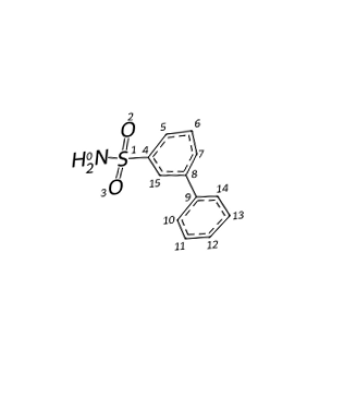 NS(=O)(=O)c1cccc(-c2ccccc2)c1